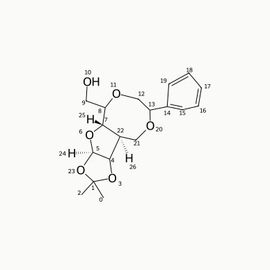 CC1(C)OC2[C@H](O[C@@H]3C(CO)OCC(c4ccccc4)OC[C@@H]23)O1